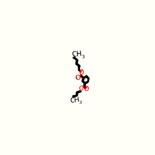 CCCCCCOC(=O)C1CCCC(C(=O)OCCCCC)C1